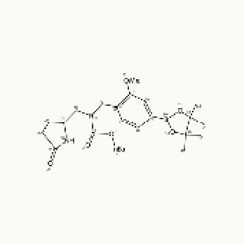 CCCCOC(=O)N(Cc1ccc(B2OC(C)(C)C(C)(C)O2)cc1OC)CC1CCC(=O)N1